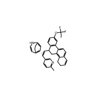 C1=CC2=CC=C(CC2)N1.Cc1ccc(/C=C\C2Cc3c(ccc4c3CCC=C4)-c3cc(OC(F)(F)F)ccc32)cn1